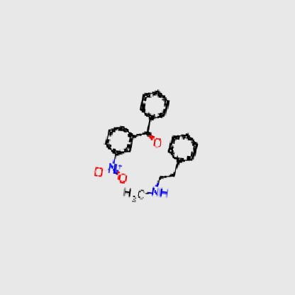 CNCCc1ccccc1.O=C(c1ccccc1)c1cccc([N+](=O)[O-])c1